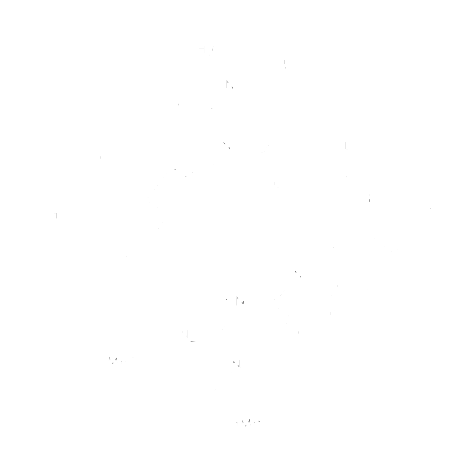 CC(C)OC(=O)c1cc(-n2c(=O)cc(C(F)(F)F)n(C)c2=O)ccc1Cl.CCOc1ccccc1OS(=O)(=O)NC(=O)Nc1nc(OC)cc(OC)n1